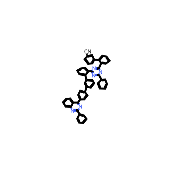 N#Cc1cccc(-c2ccccc2-c2nc(-c3ccccc3)nc(-c3ccccc3-c3cccc(-c4ccc(-c5nc(-c6ccccc6)nc6ccccc56)cc4)c3)n2)c1